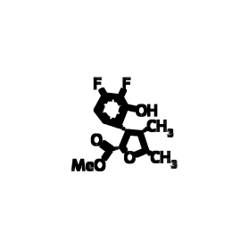 COC(=O)[C@H]1O[C@H](C)[C@@H](C)[C@H]1c1ccc(F)c(F)c1O